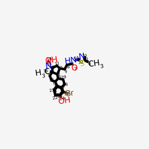 Cc1cnc(NC(=O)CCC2C/C(=N\O)C3(C)CCC4c5ccc(O)c(Br)c5CCC4C23)s1